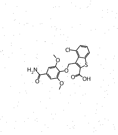 COc1cc(C(N)=O)cc(OC)c1OCc1c(C(=O)O)sc2cccc(Cl)c12